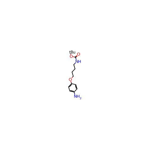 CC(C)(C)OC(=O)NCCCCOc1ccc(N)cc1